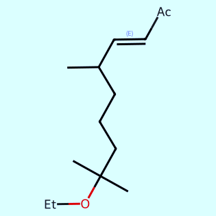 CCOC(C)(C)CCCC(C)/C=C/C(C)=O